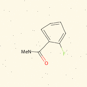 [CH2]NC(=O)c1ccccc1F